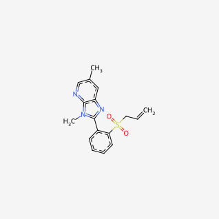 C=CCS(=O)(=O)c1ccccc1-c1nc2cc(C)cnc2n1C